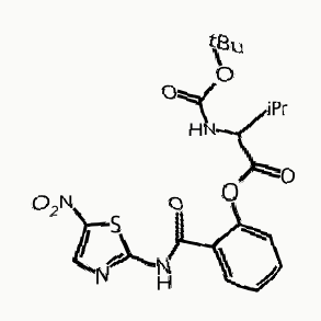 CC(C)C(NC(=O)OC(C)(C)C)C(=O)Oc1ccccc1C(=O)Nc1ncc([N+](=O)[O-])s1